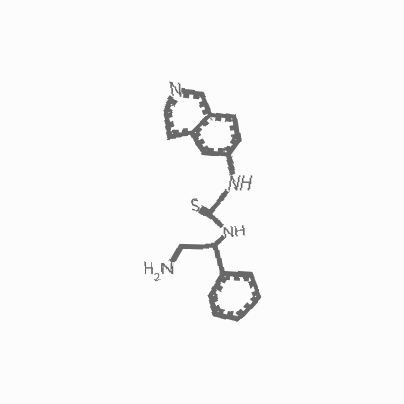 NCC(NC(=S)Nc1ccc2cnccc2c1)c1ccccc1